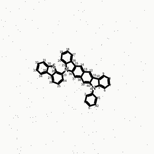 c1ccc(-n2c3ccccc3c3cc4cc5c6ccccc6n(-c6cccc7c6sc6ccccc67)c5cc4cc32)cc1